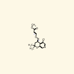 COC(=O)/C=C/O/N=C1\CC(C)(C)Oc2cncc(Cl)c21